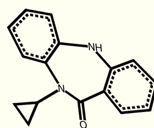 O=C1c2ccccc2Nc2ccccc2N1C1CC1